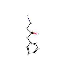 O=C(CCI)Cc1ccccc1